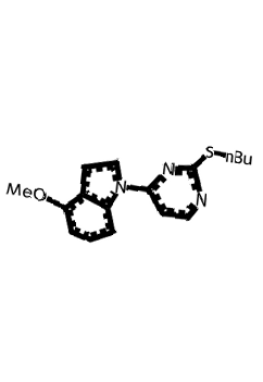 CCCCSc1nccc(-n2ccc3c(OC)cccc32)n1